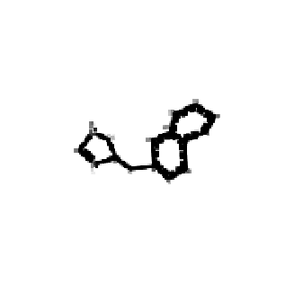 [C]1=NC(Cc2ccc3ccccc3c2)CO1